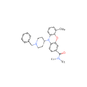 CCN(CC)C(=O)c1ccc2c(c1)Oc1c(OC)cccc1N2C1CCN(Cc2ccccc2)CC1